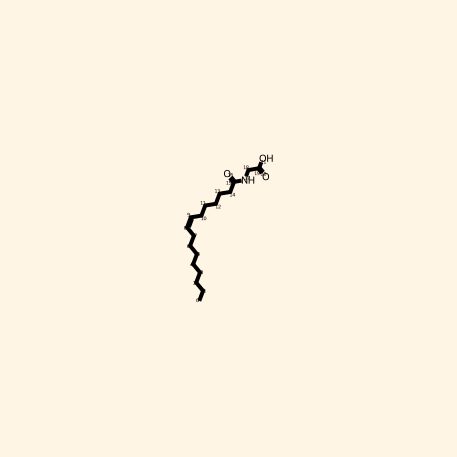 CCCCCCCC/C=C\CCCCCC(=O)NCC(=O)O